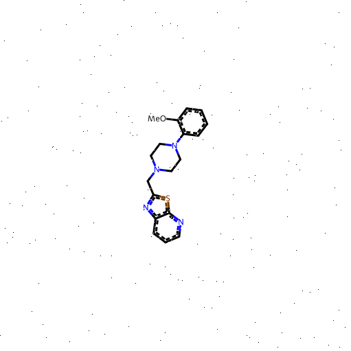 COc1ccccc1N1CCN(Cc2nc3cccnc3s2)CC1